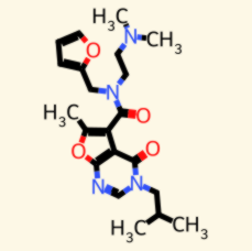 Cc1oc2ncn(CC(C)C)c(=O)c2c1C(=O)N(CCN(C)C)Cc1ccco1